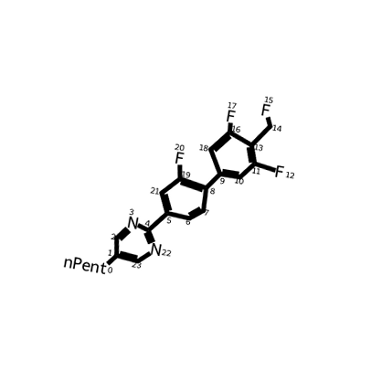 CCCCCc1cnc(-c2ccc(-c3cc(F)c(CF)c(F)c3)c(F)c2)nc1